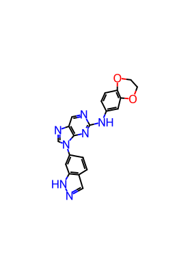 c1cc2c(cc1Nc1ncc3ncn(-c4ccc5cn[nH]c5c4)c3n1)OCCO2